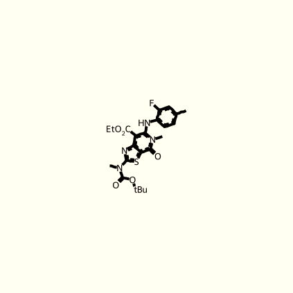 CCOC(=O)c1c(Nc2ccc(C)cc2F)n(C)c(=O)c2sc(N(C)C(=O)OC(C)(C)C)nc12